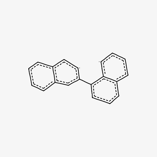 [c]1cc2ccccc2cc1-c1cccc2ccc[c]c12